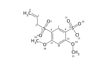 C=CCS(=O)(=O)c1cc(S(=O)(=O)Cl)c(OC)cc1OC